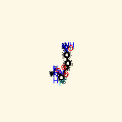 N#CC1(NC(=O)C2(NC(=O)c3cc4ccc(-c5ccc(-n6cn[nH]c6=O)cc5)cc4o3)CCC(F)(F)CC2)CC1